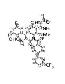 CNc1c(-n2c(C(Cc3cc(F)cc(F)c3)NC=O)nc3cc(-c4cccc(C(F)(F)F)n4)ccc3c2=O)ccc(Cl)c1C(=N)N[S+](C)[O-]